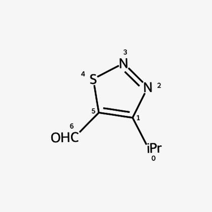 CC(C)c1nnsc1C=O